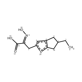 CCC1Cc2cc(CC(=NO)C(=O)O)sc2C1